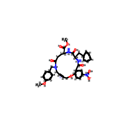 COC(=O)[C@@H]1CCC(=O)N(Cc2ccc(OC)cc2)C/C=C\COc2ccc([N+](=O)[O-])cc2C(=O)N[C@H](Cc2ccccc2)C(=O)N1